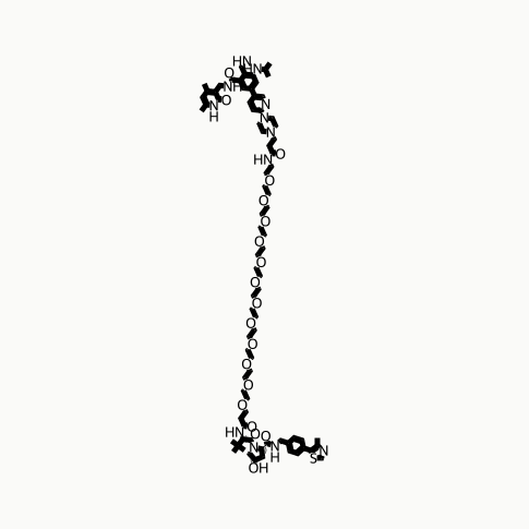 Cc1cc(C)c(CNC(=O)c2cc(-c3ccc(N4CCN(CCC(=O)NCCOCCOCCOCCOCCOCCOCCOCCOCCOCCOCCOCCOCCC(=O)N[C@H](C(=O)N5C[C@H](O)C[C@H]5C(=O)NCc5ccc(-c6scnc6C)cc5)C(C)(C)C)CC4)nc3)cc(NC(C)C)c2C=N)c(=O)[nH]1